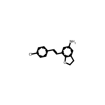 Nc1cc(/C=C/c2ccc(Cl)cc2)c2c(c1)CCO2